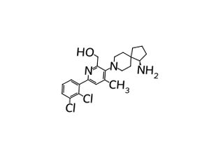 Cc1cc(-c2cccc(Cl)c2Cl)nc(CO)c1N1CCC2(CCC[C@H]2N)CC1